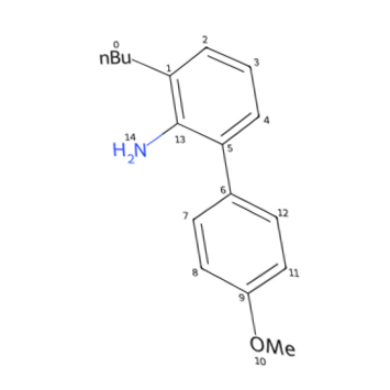 CCCCc1cccc(-c2ccc(OC)cc2)c1N